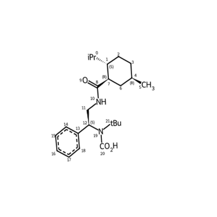 CC(C)[C@@H]1CC[C@@H](C)C[C@H]1C(=O)NC[C@H](c1ccccc1)N(C(=O)O)C(C)(C)C